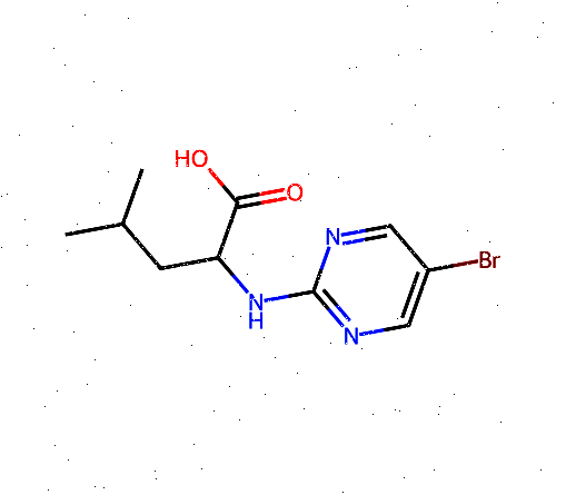 CC(C)CC(Nc1ncc(Br)cn1)C(=O)O